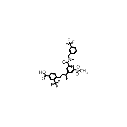 CS(=O)(=O)c1cc(C(F)CCc2ccc(C(=O)O)cc2C(F)(F)F)cc(C(=O)NCc2cccc(C(F)(F)F)c2)n1